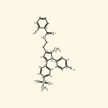 Cc1c(CCOC(=O)c2ccccc2F)cc(-c2ccc(S(C)(=O)=O)cc2)n1-c1ccc(F)cc1